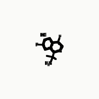 CC(C)(N)c1ncc(F)c2ccc(F)cc12.Cl